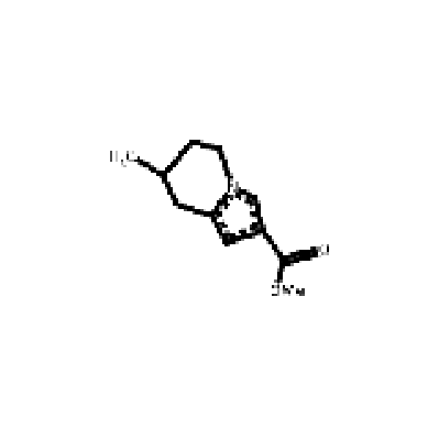 COC(=O)c1cc2n(c1)CCC(C)C2